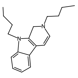 CCCCN1C=Cc2c(n(CCCC)c3ccccc23)C1